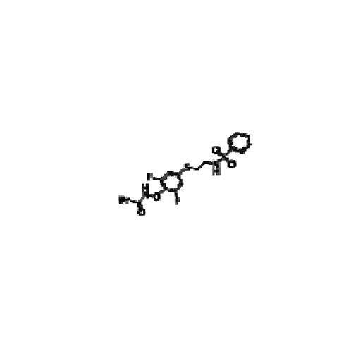 CC(C)C(=O)NOc1c(F)cc(SCCNS(=O)(=O)c2ccccc2)cc1F